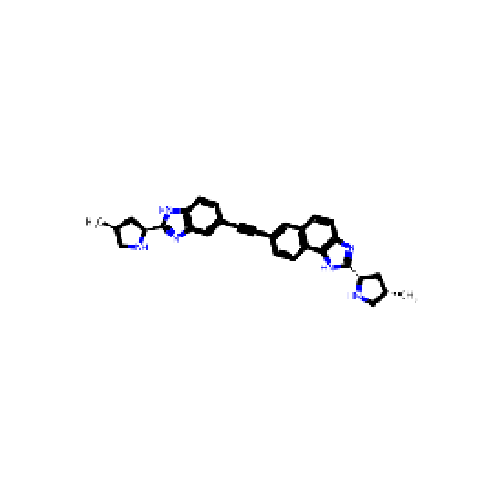 C[C@@H]1CN[C@H](c2nc3cc(C#Cc4ccc5c(ccc6nc([C@@H]7C[C@H](C)CN7)[nH]c65)c4)ccc3[nH]2)C1